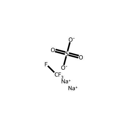 FC(F)(F)F.O=S(=O)([O-])[O-].[Na+].[Na+]